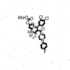 COC(=O)Oc1cc2n(n1)C(c1ccc(Cl)c(Cl)c1)C(C(=O)N1CCN(c3ccc(F)cc3)CC1)=C(C)N2